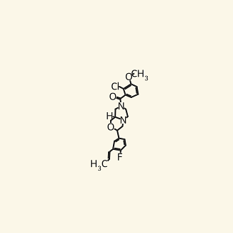 C/C=C/c1cc(C2CN3CCN(C(=O)c4cccc(OC)c4Cl)C[C@H]3CO2)ccc1F